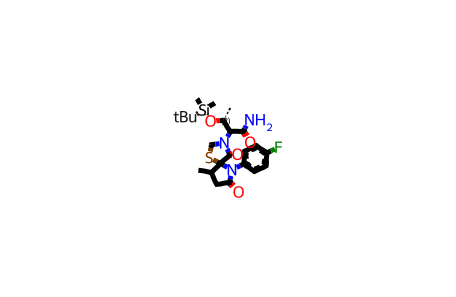 CC1CC(=O)N(c2ccc(F)cc2)C12SCN(C(C(N)=O)[C@@H](C)O[Si](C)(C)C(C)(C)C)C2=O